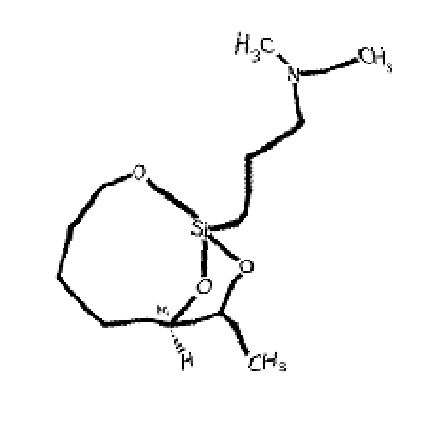 CC1O[Si]2(CCCN(C)C)OCCCC[C@H]1O2